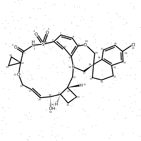 O=C1NS(=O)(=O)c2ccc3c(c2)N(C[C@@H]2CC[C@H]2[C@H](O)/C=C/COC12CC2)C[C@@]1(CCCc2cc(Cl)ccc21)CO3